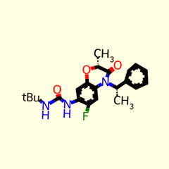 C[C@H]1Oc2cc(NC(=O)NC(C)(C)C)c(F)cc2N([C@@H](C)c2ccccc2)C1=O